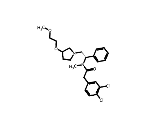 COCCOC1CCN(C[C@H](c2ccccc2)N(C)C(=O)Cc2ccc(Cl)c(Cl)c2)C1